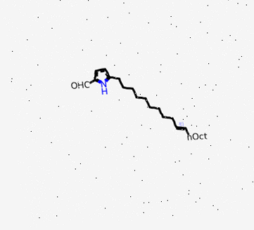 CCCCCCCC/C=C/CCCCCCCCCc1ccc(C=O)[nH]1